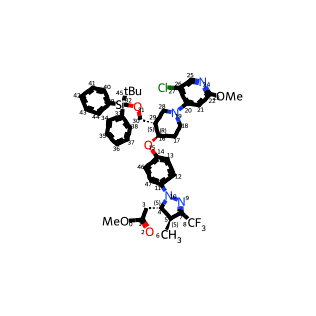 COC(=O)C[C@H]1[C@H](C)C(C(F)(F)F)=NN1c1ccc(O[C@@H]2CCN(c3cc(OC)ncc3Cl)C[C@H]2CO[Si](c2ccccc2)(c2ccccc2)C(C)(C)C)cc1